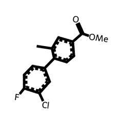 COC(=O)c1ccc(-c2ccc(F)c(Cl)c2)c(C)c1